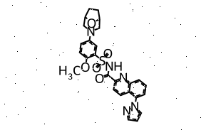 COc1ccc(N2CC3CCC(C2)O3)cc1S(=O)(=O)NC(=O)c1ccc2c(-n3cccn3)cccc2n1